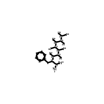 [2H]I([3H])I(Cc1ccccc1)I(I)I(I)I(I)I(I)I(I)I(I)I(I)I